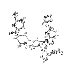 N#Cc1nccc(NC2CCN(Cc3ccc(-n4c(-c5cccnc5N)nc5ccc(-c6cnco6)nc54)cc3)CC2)n1